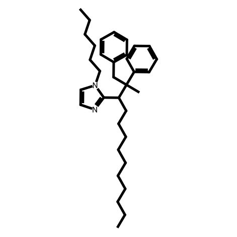 CCCCCCCCCCC(c1nccn1CCCCCC)C(C)(Cc1ccccc1)c1ccccc1